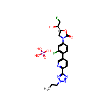 CCCn1nnc(-c2ccc(-c3ccc(N4C[C@@H](C(O)CF)OC4=O)cc3F)cn2)n1.O=P(O)(O)O